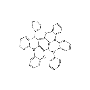 c1ccc(N2c3ccccc3B3c4ccccc4Sc4c3c2c2c3c4N(c4ccccc4)c4ccccc4B3c3ccccc3O2)cc1